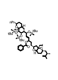 C=C(C)[C@H](C)C[C@H]1CC[C@@H]2O[C@@H](CCC(/C=C/[C@H](O[Si](C)(C)C(C)(C)C)[C@@H]3C[C@H]4CC[C@H](CCC)O[C@@H]4[C@H](O[Si](C)(C)C(C)(C)C)[C@@H]3O[Si](C)(C)C(C)(C)C)OC(=O)c3ccccc3)C[C@]2(CI)O1